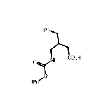 CC(C)C[C@H](CNC(=O)OC(C)(C)C)CC(=O)O